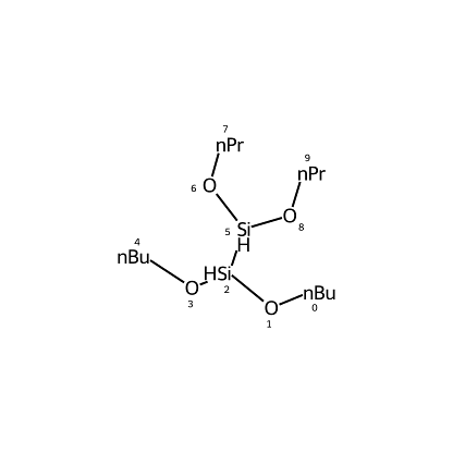 CCCCO[SiH](OCCCC)[SiH](OCCC)OCCC